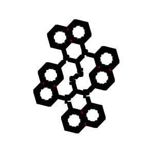 c1ccc(P(c2ccccc2)C(SSC(P(c2ccccc2)c2ccccc2)P(c2ccccc2)c2ccccc2)P(c2ccccc2)c2ccccc2)cc1